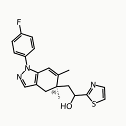 CC1=Cc2c(cnn2-c2ccc(F)cc2)C[C@]1(C)CC(O)c1nccs1